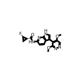 COc1cnnc(OC)c1-c1c[nH]c2nc(NC(=O)[C@@H]3C[C@@H]3F)ccc12